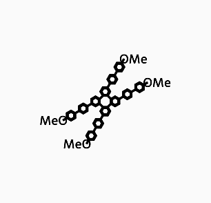 COc1ccc(-c2ccc(-c3ccc4c(c3)-c3cc(-c5ccc(-c6ccc(OC)cc6)cc5)ccc3-c3ccc(-c5ccc(-c6ccc(OC)cc6)cc5)cc3-c3cc(-c5ccc(-c6ccc(OC)cc6)cc5)ccc3-4)cc2)cc1